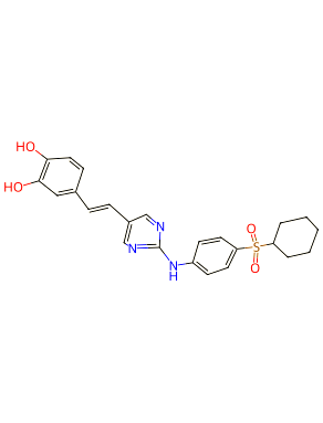 O=S(=O)(c1ccc(Nc2ncc(/C=C/c3ccc(O)c(O)c3)cn2)cc1)C1CCCCC1